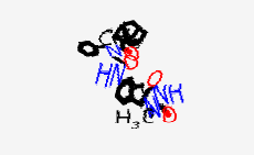 C[C@H](c1ccccc1)N(CC(=O)Nc1ccc2c(c1)C[C@@]1(C2)C(=O)NC(=O)N1C)C(=O)C12CC3CC(CC(C3)C1)C2